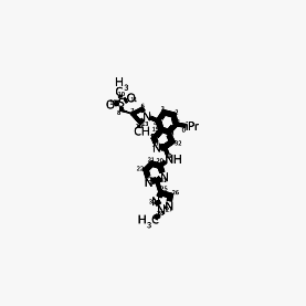 CC(C)c1ccc(N2C[C@H](CS(C)(=O)=O)[C@H]2C)c2cnc(Nc3ccnc(-c4cnn(C)n4)n3)cc12